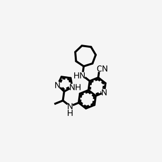 CC(Nc1ccc2ncc(C#N)c(NC3CCCCCC3)c2c1)c1ncc[nH]1